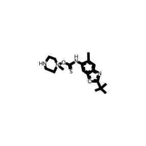 Cc1cc2nc(C(C)(C)C)oc2cc1NC(=S)O[N+]1(C)CCNCC1